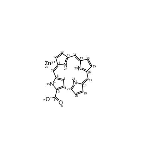 O=C([O-])c1ccc(C=C2C=CC(C=C3C=CC(C=C4C=CC=N4)=N3)=N2)[n-]1.[Zn+2]